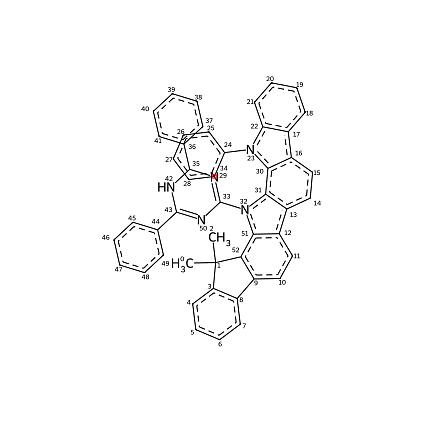 CC1(C)c2ccccc2-c2ccc3c4ccc5c6ccccc6n(-c6ccccc6)c5c4n(C4=NC(c5ccccc5)NC(c5ccccc5)=N4)c3c21